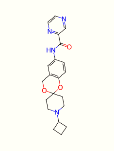 O=C(Nc1ccc2c(c1)COC1(CCN(C3CCC3)CC1)O2)c1cnccn1